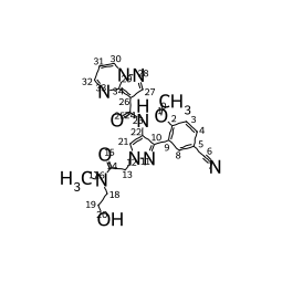 COc1ccc(C#N)cc1-c1nn(CC(=O)N(C)CCO)cc1NC(=O)c1cnn2cccnc12